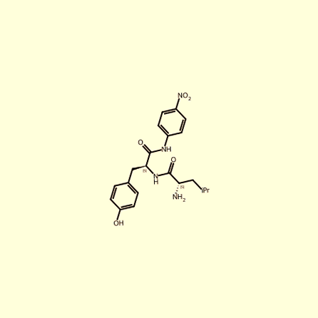 CC(C)C[C@H](N)C(=O)N[C@@H](Cc1ccc(O)cc1)C(=O)Nc1ccc([N+](=O)[O-])cc1